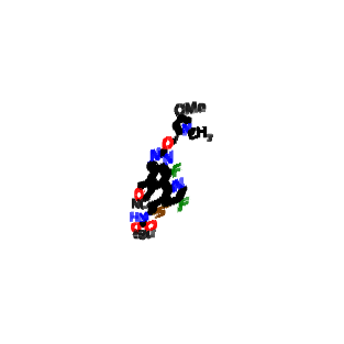 CO[C@@H]1C[C@@H](COc2ncc3c4c(c(-c5ncc(F)c6sc(NC(=O)OC(C)(C)C)c(C#N)c56)c(F)c3n2)COC4)N(C)C1